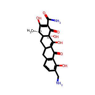 C[C@@H]1C(O)=C(C(N)=O)C(=O)[C@@]2(O)C(O)=C3C(=O)c4c(ccc(CN)c4O)CC3CC12